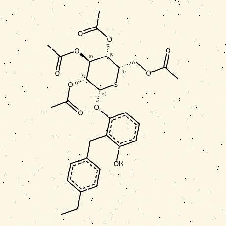 CCc1ccc(Cc2c(O)cccc2O[C@H]2S[C@@H](COC(C)=O)[C@@H](OC(C)=O)[C@H](OC(C)=O)[C@H]2OC(C)=O)cc1